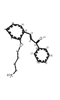 CCCCCOc1ccccc1C=CC(=O)c1ccccc1